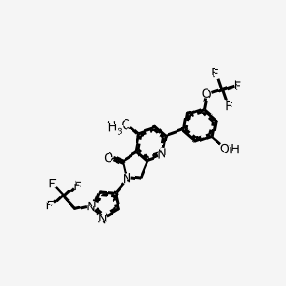 Cc1cc(-c2cc(O)cc(OC(F)(F)F)c2)nc2c1C(=O)N(c1cnn(CC(F)(F)F)c1)C2